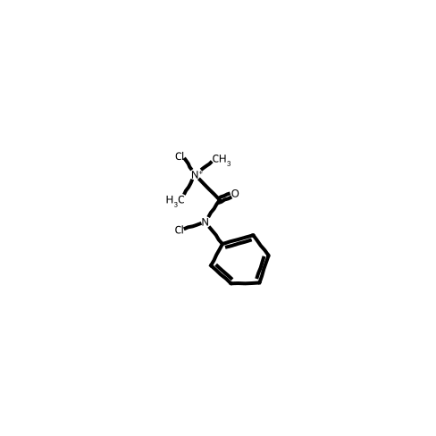 C[N+](C)(Cl)C(=O)N(Cl)c1ccccc1